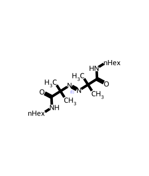 CCCCCCNC(=O)C(C)(C)/N=N/C(C)(C)C(=O)NCCCCCC